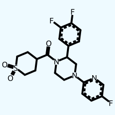 O=C(C1CCS(=O)(=O)CC1)N1CCN(c2ccc(F)cn2)CC1c1ccc(F)c(F)c1